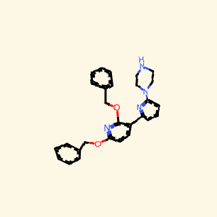 c1ccc(COc2ccc(-c3cccc(N4CCNCC4)n3)c(OCc3ccccc3)n2)cc1